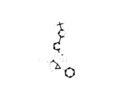 C[C@@H]1[C@H](c2ccccc2)[C@]1(NS(=O)(=O)c1ccc(-c2cc(C(F)(F)F)on2)s1)C(=O)NO